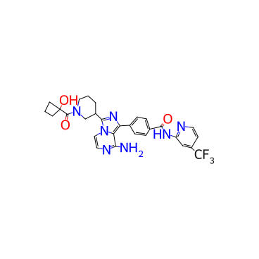 Nc1nccn2c(C3CCCN(C(=O)C4(O)CCC4)C3)nc(-c3ccc(C(=O)Nc4cc(C(F)(F)F)ccn4)cc3)c12